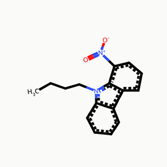 CCCCn1c2ccccc2c2cccc([N+](=O)[O-])c21